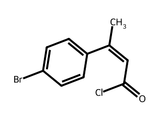 C/C(=C/C(=O)Cl)c1ccc(Br)cc1